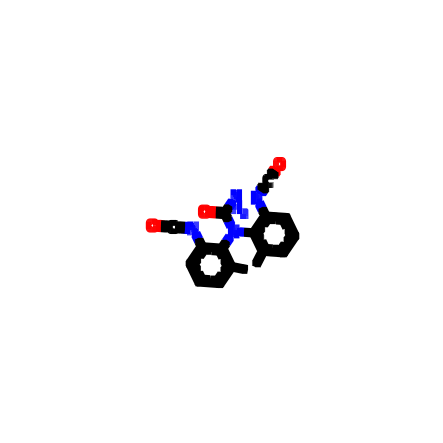 Cc1cccc(N=C=O)c1N(C(N)=O)c1c(C)cccc1N=C=O